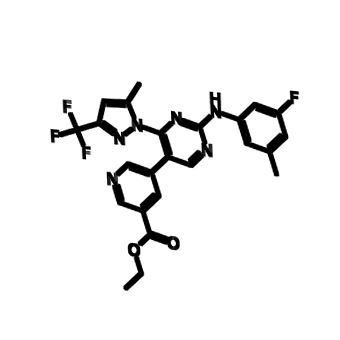 CCOC(=O)c1cncc(-c2cnc(Nc3cc(C)cc(F)c3)nc2-n2nc(C(F)(F)F)cc2C)c1